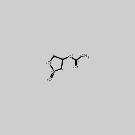 CC(=O)OC1COS(=O)C1